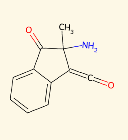 CC1(N)C(=O)c2ccccc2C1=C=O